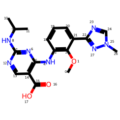 COc1c(Nc2nc(NC(C)C)ncc2C(=O)O)cccc1-c1ncn(C)n1